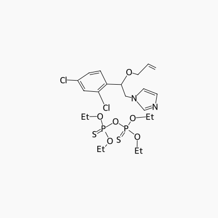 C=CCOC(Cn1ccnc1)c1ccc(Cl)cc1Cl.CCOP(=S)(OCC)OP(=S)(OCC)OCC